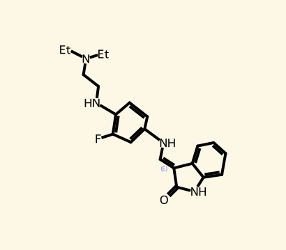 CCN(CC)CCNc1ccc(N/C=C2/C(=O)Nc3ccccc32)cc1F